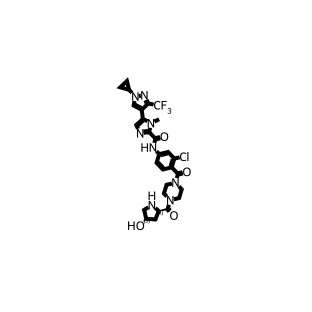 Cn1c(-c2cn(C3CC3)nc2C(F)(F)F)cnc1C(=O)Nc1ccc(C(=O)N2CCN(C(=O)[C@H]3C[C@H](O)CN3)CC2)c(Cl)c1